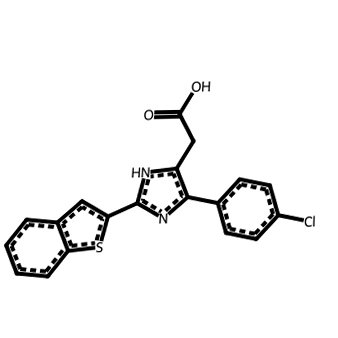 O=C(O)Cc1[nH]c(-c2cc3ccccc3s2)nc1-c1ccc(Cl)cc1